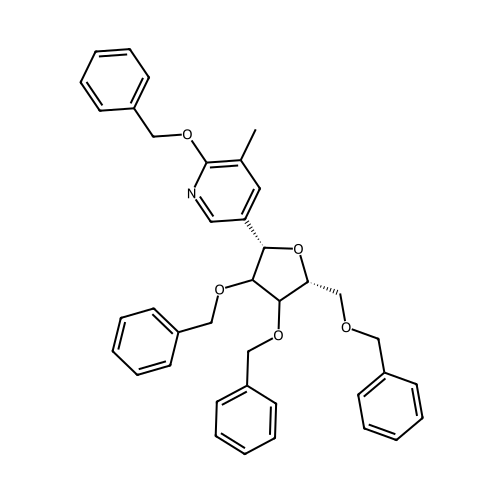 Cc1cc([C@@H]2O[C@H](COCc3ccccc3)C(OCc3ccccc3)C2OCc2ccccc2)cnc1OCc1ccccc1